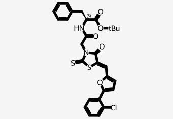 CC(C)(C)OC(=O)[C@H](Cc1ccccc1)NC(=O)CN1C(=O)C(=Cc2ccc(-c3ccccc3Cl)o2)SC1=S